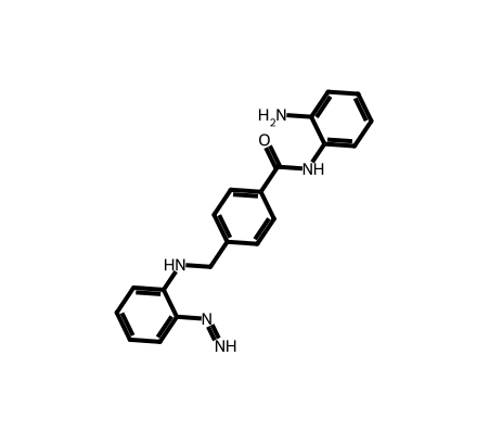 N=Nc1ccccc1NCc1ccc(C(=O)Nc2ccccc2N)cc1